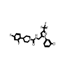 O=C(NCc1cc(C(F)(F)F)nn1-c1cccc(Cl)c1)N1CCC(c2ccc(F)cc2F)CC1